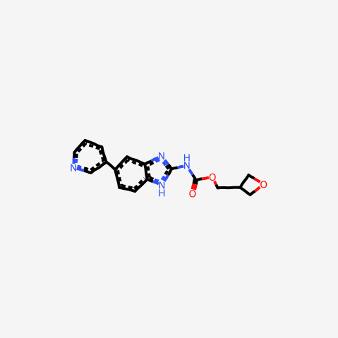 O=C(Nc1nc2cc(-c3cccnc3)ccc2[nH]1)OCC1COC1